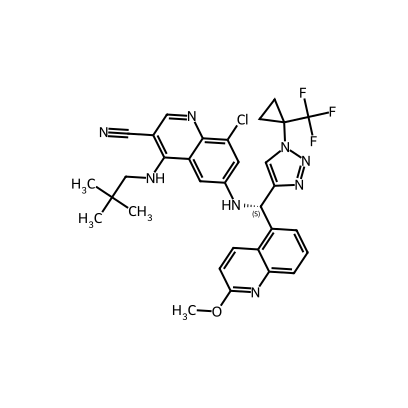 COc1ccc2c([C@H](Nc3cc(Cl)c4ncc(C#N)c(NCC(C)(C)C)c4c3)c3cn(C4(C(F)(F)F)CC4)nn3)cccc2n1